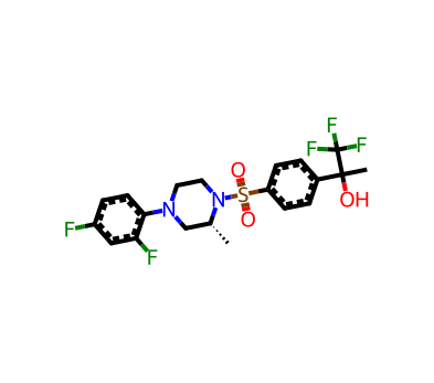 C[C@@H]1CN(c2ccc(F)cc2F)CCN1S(=O)(=O)c1ccc(C(C)(O)C(F)(F)F)cc1